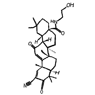 CC1(C)CC[C@]2(C(=O)NCCO)CC[C@]3(C)[C@H](C(=O)C=C4[C@@]5(C)C=C(C#N)C(=O)C(C)(C)[C@@H]5CC[C@]43C)[C@@H]2C1